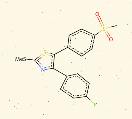 CSc1nc(-c2ccc(F)cc2)c(-c2ccc(S(C)(=O)=O)cc2)s1